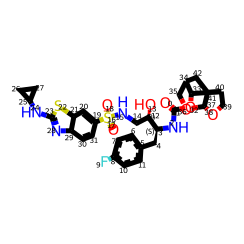 O=C(N[C@@H](Cc1ccc(F)cc1)[C@H](O)CNS(=O)(=O)C1=CC2SC(NC3CC3)=NC2C=C1)OC1C2COC3OCC1C3C2